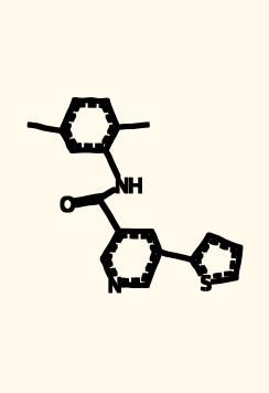 Cc1ccc(C)c(NC(=O)c2cncc(-c3cccs3)c2)c1